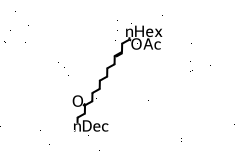 CCCCCCCCCCCCC(=O)CCCCCCCC=CCC(CCCCCC)OC(C)=O